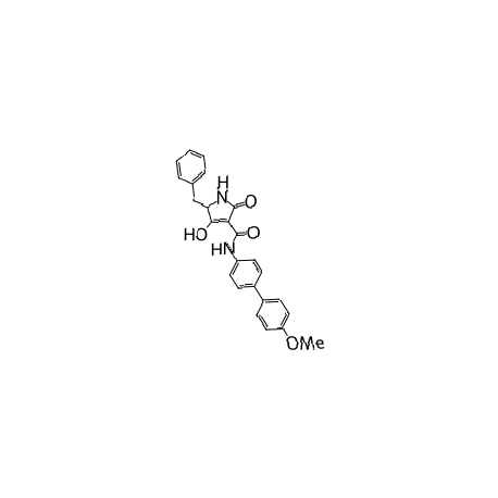 COc1ccc(-c2ccc(NC(=O)C3=C(O)C(Cc4ccccc4)NC3=O)cc2)cc1